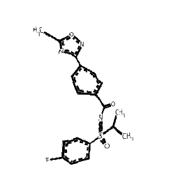 Cc1nc(-c2ccc(C(=O)N=S(=O)(c3ccc(F)cc3)C(C)C)cc2)no1